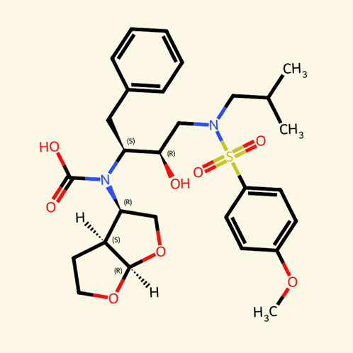 COc1ccc(S(=O)(=O)N(CC(C)C)C[C@@H](O)[C@H](Cc2ccccc2)N(C(=O)O)[C@H]2CO[C@H]3OCC[C@H]32)cc1